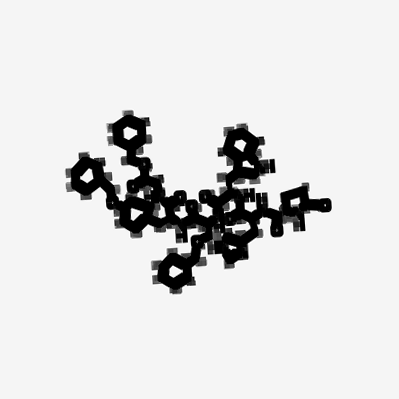 O=C1CC[C@@H](C(=O)N[C@@H](Cc2c[nH]cn2)C(=O)N[C@@H](Cc2c[nH]c3ccccc23)C(=O)N[C@@H](COCc2ccccc2)C(=O)N[C@@H](Cc2ccc(OCc3ccccc3)cc2)C(=O)NCC(=O)OCc2ccccc2)N1